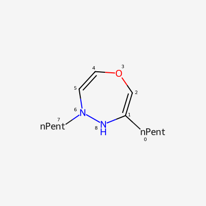 CCCCCc1coccn(CCCCC)[nH]1